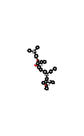 c1ccc(-c2ccc(-c3nc(-c4ccc5c(c4)-c4ccccc4C54c5ccc6ccccc6c5Oc5c4ccc4ccccc54)nc4cc(-c5ccc6ccc7c(c6c5)Oc5c(ccc6ccccc56)C75c6ccccc6-c6cc(-c7ccc(-c8nc(-c9ccccc9)nc(-c9ccccc9)n8)cc7)ccc65)ccc34)cc2)cc1